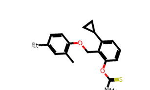 CCc1ccc(OCc2c(OC(=S)NC)cccc2C2CC2)c(C)c1